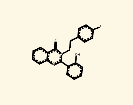 O=c1c2ccccc2nc(-c2ccccc2O)n1CCc1ccc(F)cc1